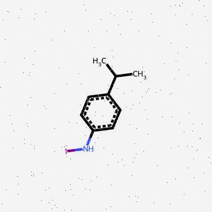 CC(C)c1ccc(NI)cc1